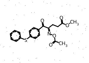 COC(=O)CCC(=NOC(C)=O)C(=O)c1ccc(Sc2ccccc2)cc1